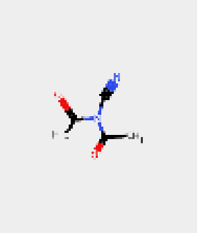 CC(=O)N(C#N)C(C)=O